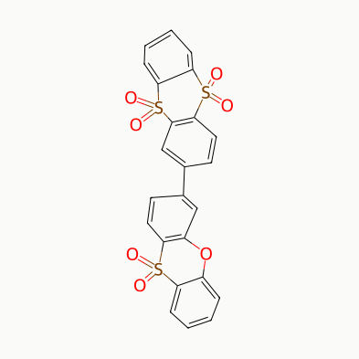 O=S1(=O)c2ccccc2Oc2cc(-c3ccc4c(c3)S(=O)(=O)c3ccccc3S4(=O)=O)ccc21